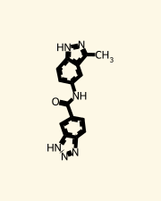 Cc1n[nH]c2ccc(NC(=O)c3ccc4nn[nH]c4c3)cc12